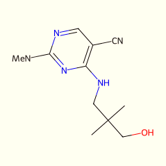 CNc1ncc(C#N)c(NCC(C)(C)CO)n1